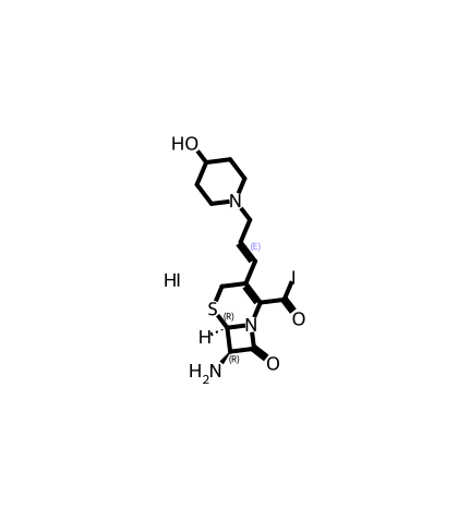 I.N[C@@H]1C(=O)N2C(C(=O)I)=C(/C=C/CN3CCC(O)CC3)CS[C@H]12